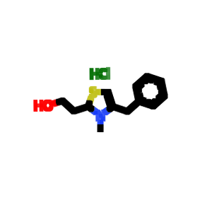 CN1C(Cc2ccccc2)=CSC1CCO.Cl